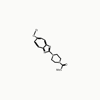 CCOc1ccc2nc(N3CCN(C(=O)SC)CC3)nc-2cc1